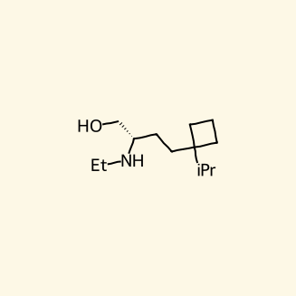 CCN[C@H](CO)CCC1(C(C)C)CCC1